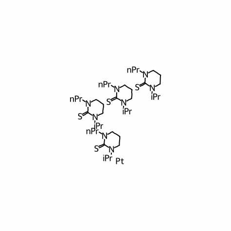 CCCN1CCCN(C(C)C)C1=S.CCCN1CCCN(C(C)C)C1=S.CCCN1CCCN(C(C)C)C1=S.CCCN1CCCN(C(C)C)C1=S.[Pt]